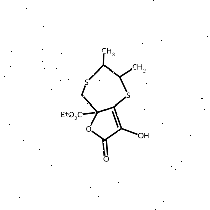 CCOC(=O)C12CSC(C)C(C)SC1=C(O)C(=O)O2